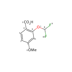 COc1ccc(C(=O)O)c(OC(F)F)c1